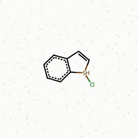 Cl[SH]1C=Cc2ccccc21